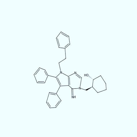 N=c1c2c(-c3ccccc3)c(-c3ccccc3)n(CCc3ccccc3)c2ncn1C[C@@H]1CCCC[C@H]1O